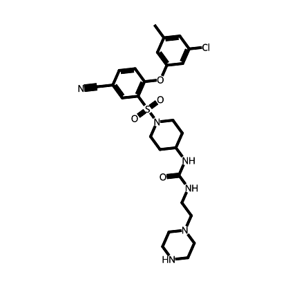 Cc1cc(Cl)cc(Oc2ccc(C#N)cc2S(=O)(=O)N2CCC(NC(=O)NCCN3CCNCC3)CC2)c1